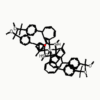 COC(C)(C)c1ccc(C2C=CC=CC3=C2C=C(C)[C]32[SiH](C)[C]3(C(C)=CC4=C3C=CC=CC4c3ccc(C(C)(C)OC)cc3)[Zr]23([Cl])([Cl])[C]2(C(C)=CC4=C2C=CC=CC4c2ccc(C(C)(C)OC)cc2)[SiH](C)[C]32C(C)=CC3=C2C=CC=CC3c2ccc(C(C)(C)OC)cc2)cc1